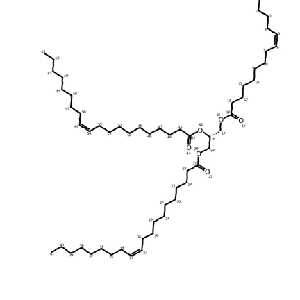 CCCCC/C=C\CCCCCCCC(=O)OC[C@H](COC(=O)CCCCCCCCC/C=C\CCCCCCCC)OC(=O)CCCCCCCCC/C=C\CCCCCCCC